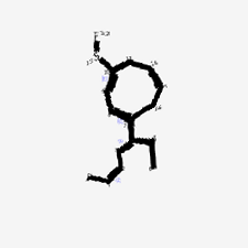 C\C=C/C=C(CC)/C1=C/C=C(/SF)CC=CC1